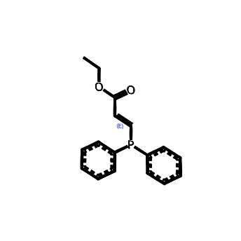 CCOC(=O)/C=C/P(c1ccccc1)c1ccccc1